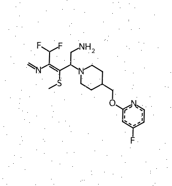 C=N/C(=C(\SC)C(CN)N1CCC(COc2cc(F)ccn2)CC1)C(F)F